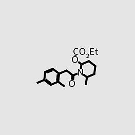 CCOC(=O)OC1CCCC(C)N1C(=O)Cc1ccc(C)cc1C